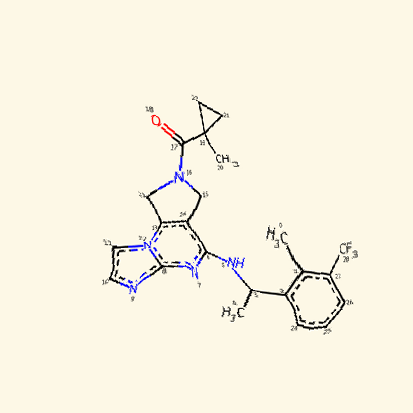 Cc1c(C(C)Nc2nc3nccn3c3c2CN(C(=O)C2(C)CC2)C3)cccc1C(F)(F)F